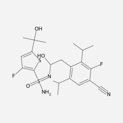 CC(C)c1cc(C#N)c(F)c(C(C)C)c1CC(O)N=S(N)(=O)c1sc(C(C)(C)O)cc1F